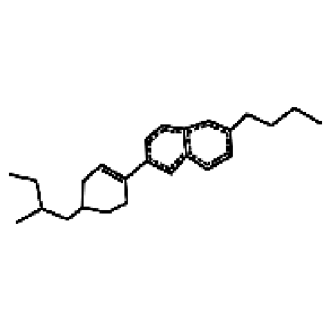 CCCCc1ccc2cc(C3=CCC(CC(C)CC)CC3)ccc2c1